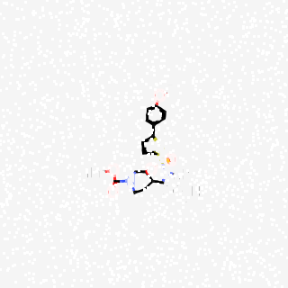 CCCN([C@@H](C(=O)O)C1CCN(C(=O)OC(C)C)CC1)S(=O)(=O)c1ccc(-c2ccc(OCC)cc2)s1